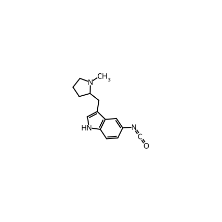 CN1CCCC1Cc1c[nH]c2ccc(N=C=O)cc12